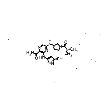 Cc1cc(Nc2nc(NC3CCN(C(=O)N(C)C)C3)cnc2C(N)=O)sn1